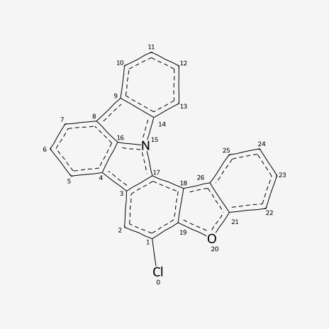 Clc1cc2c3cccc4c5ccccc5n(c43)c2c2c1oc1ccccc12